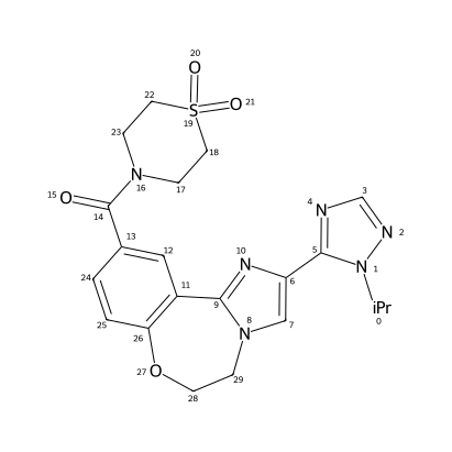 CC(C)n1ncnc1-c1cn2c(n1)-c1cc(C(=O)N3CCS(=O)(=O)CC3)ccc1OCC2